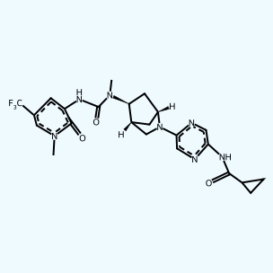 CN(C(=O)Nc1cc(C(F)(F)F)cn(C)c1=O)[C@H]1C[C@H]2C[C@@H]1CN2c1cnc(NC(=O)C2CC2)cn1